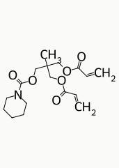 C=CC(=O)OCC(C)(COC(=O)C=C)COC(=O)N1CCCCC1